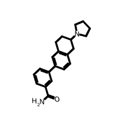 NC(=O)c1cccc(-c2ccc3c(c2)CCC(N2CCCC2)C3)c1